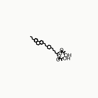 C=C(CO)C(=O)OCC(CCCCC1CCC(CCc2ccc3c(c2)CCc2cc(CCC)ccc2-3)CC1)COC(=O)C(=C)CO